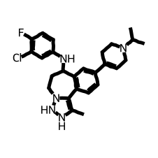 CC1=C2c3ccc(C4=CCN(C(C)C)CC4)cc3C(Nc3ccc(F)c(Cl)c3)CCN2NN1